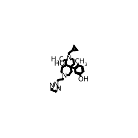 Cc1ccc(O)cc1C12CCN(CCn3nccn3)CCC1(O)C(C)N(CC1CC1)CC2